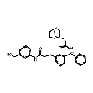 O=C(COc1cccc([C@@H](NC(=O)OC2CN3CCC2CC3)c2ccccc2)c1)Nc1cccc(CO)c1